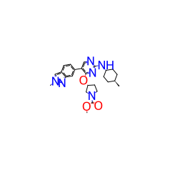 COC(=O)N1CCC(Oc2nc(N[C@H]3CC[C@H](C)CC3)ncc2-c2ccc3cn(C)nc3c2)C1